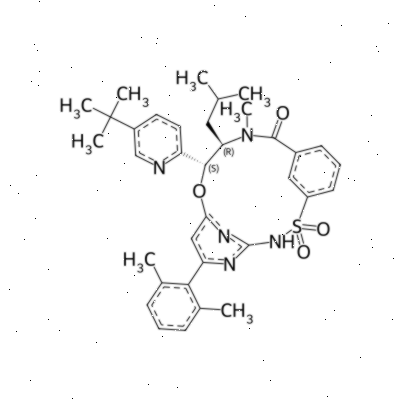 Cc1cccc(C)c1-c1cc2nc(n1)NS(=O)(=O)c1cccc(c1)C(=O)N(C)[C@H](CC(C)C)[C@@H](c1ccc(C(C)(C)C)cn1)O2